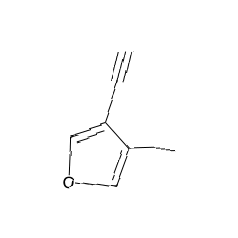 C#Cc1cocc1C